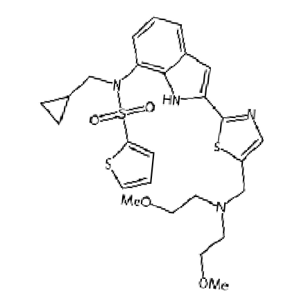 COCCN(CCOC)Cc1cnc(-c2cc3cccc(N(CC4CC4)S(=O)(=O)c4cccs4)c3[nH]2)s1